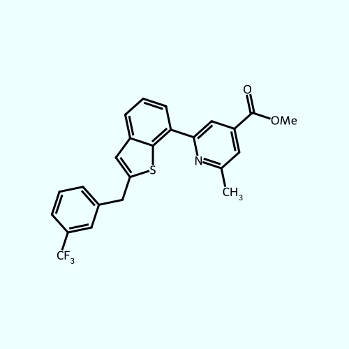 COC(=O)c1cc(C)nc(-c2cccc3cc(Cc4cccc(C(F)(F)F)c4)sc23)c1